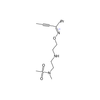 CC#C/C(=N\OCCNCCN(C)S(C)(=O)=O)C(C)C